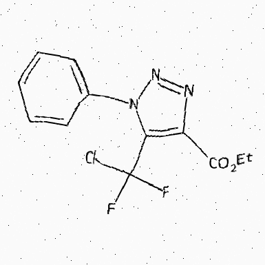 CCOC(=O)c1nnn(-c2ccccc2)c1C(F)(F)Cl